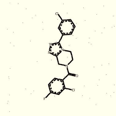 O=C(c1ccc(F)cc1Cl)N1CCn2c(nnc2-c2cccc(Cl)c2)C1